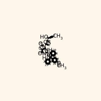 CC#CC(O)[C@H]1O[C@@H](N2C(=O)SC3C(=O)NC(N=NC(c4ccccc4)(c4ccccc4)c4ccc(OC)cc4)NC32)CS1